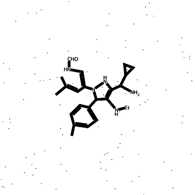 CCNC1=C(C(N)C2CC2)NN(/C(C=C(C)C)=C/NC=O)C1c1ccc(C)cc1